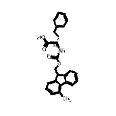 Cc1cccc2c1-c1ccccc1C2COC(=O)N[C@@H](CCc1ccccc1)C(=O)O